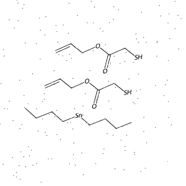 C=CCOC(=O)CS.C=CCOC(=O)CS.CCC[CH2][Sn][CH2]CCC